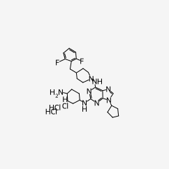 Cl.Cl.Cl.NC1CCC(Nc2nc(NN3CCC(Cc4c(F)cccc4F)CC3)c3ncn(C4CCCC4)c3n2)CC1